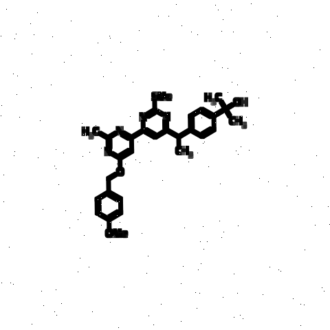 COc1ccc(COc2cc(-c3cc(C(C)c4ccc(C(C)(C)O)cc4)nc(SC)n3)nc(C)n2)cc1